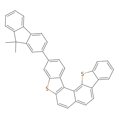 CC1(C)c2ccccc2-c2ccc(-c3ccc4c(c3)sc3ccc5ccc6c7ccccc7sc6c5c34)cc21